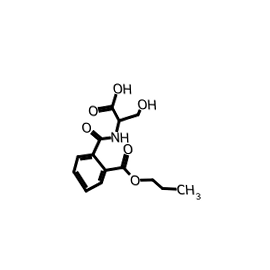 CCCOC(=O)c1ccccc1C(=O)NC(CO)C(=O)O